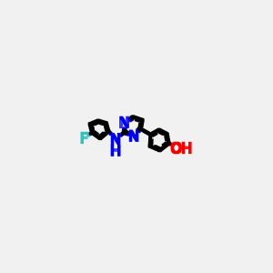 Oc1ccc(-c2ccnc(Nc3cccc(F)c3)n2)cc1